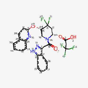 O=C(O)C(F)(F)F.O=C(c1n[nH]c2ccccc12)N1CCC(F)(F)[C@@H](Oc2ccc3ccccc3n2)C1